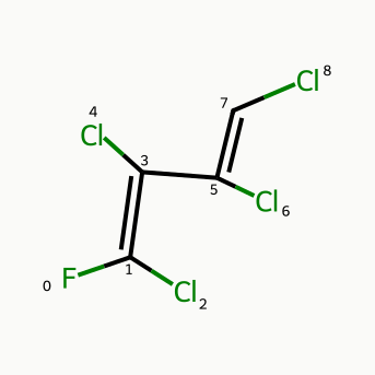 FC(Cl)=C(Cl)C(Cl)=CCl